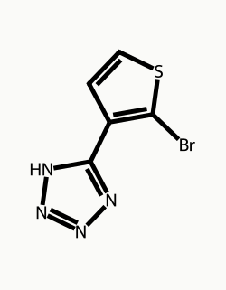 Brc1sccc1-c1nnn[nH]1